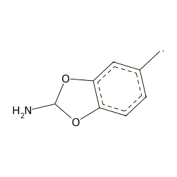 [CH2]c1ccc2c(c1)OC(N)O2